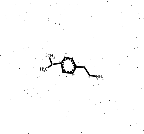 CC(C)c1ccc(CCN)cc1